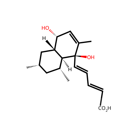 CC1=C[C@@H](O)[C@H]2C[C@@H](C)C[C@@H](C)[C@@H]2[C@@]1(O)/C=C/C=C/C(=O)O